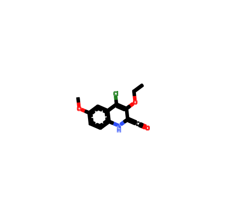 CCOC1=C(Cl)c2cc(OC)ccc2NC1=C=O